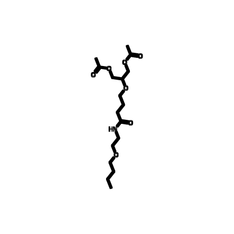 CCCCOCCNC(=O)CCCOC(COC(C)=O)COC(C)=O